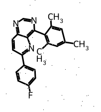 Cc1cc(C)c(-c2ncnc3ccc(-c4ccc(F)cc4)nc23)c(C)c1